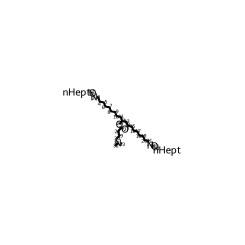 CCCCCCCON=CCCCCCCCCC(CCCCCCCCC=NOCCCCCCC)OC(=O)CCCN(C)C